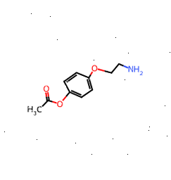 CC(=O)Oc1ccc(OCCN)cc1